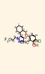 O=Cc1c(OCC2CCCCC2c2ccnn2CCC(F)(F)F)ccc(Cl)c1O